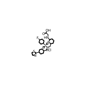 Cl.O=C(O)CNc1cccc(CN(Cc2ccc(-c3nccs3)cc2)S(=O)(=O)c2ccc(F)cc2)n1